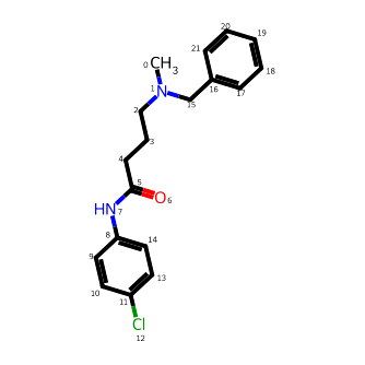 CN(CCCC(=O)Nc1ccc(Cl)cc1)Cc1ccccc1